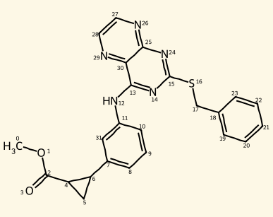 COC(=O)C1CC1c1cccc(Nc2nc(SCc3ccccc3)nc3nccnc23)c1